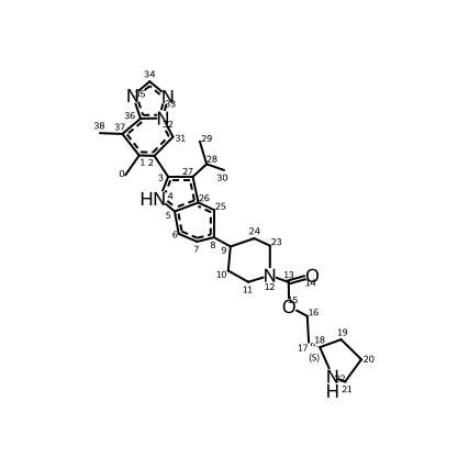 Cc1c(-c2[nH]c3ccc(C4CCN(C(=O)OCC[C@@H]5CCCN5)CC4)cc3c2C(C)C)cn2ncnc2c1C